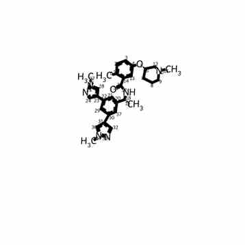 Cc1ccc(O[C@H]2CCCN(C)C2)cc1C(=O)N[C@H](C)c1cc(-c2cnn(C)c2)cc(-c2cnn(C)c2)c1